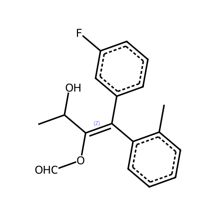 Cc1ccccc1/C(=C(\OC=O)C(C)O)c1cccc(F)c1